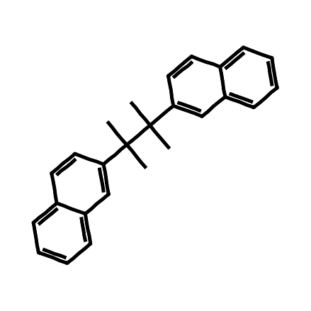 CC(C)(c1ccc2ccccc2c1)C(C)(C)c1ccc2ccccc2c1